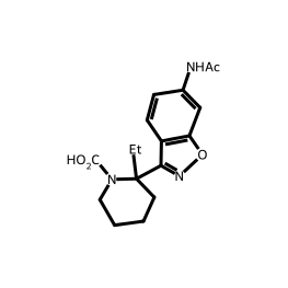 CCC1(c2noc3cc(NC(C)=O)ccc23)CCCCN1C(=O)O